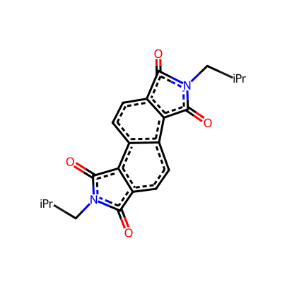 CC(C)Cn1c(=O)c2ccc3c(ccc4c(=O)n(CC(C)C)c(=O)c43)c2c1=O